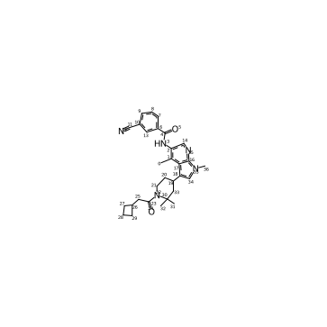 Cc1c(NC(=O)c2cccc(C#N)c2)cnc2c1c(C1CCN(C(=O)CC3CCC3)C(C)(C)C1)cn2C